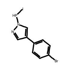 Brc1ccc(-c2cnn(PI)c2)cc1